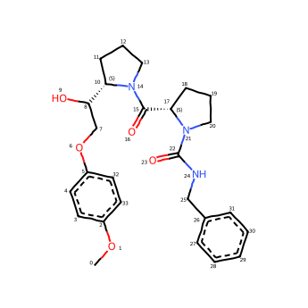 COc1ccc(OCC(O)[C@@H]2CCCN2C(=O)[C@@H]2CCCN2C(=O)NCc2ccccc2)cc1